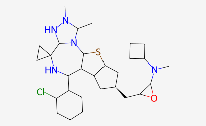 CC1N(C)NC2N1C1SC3C[C@@H](CC4OC4N(C)C4CCC4)CC3C1C(C1CCCCC1Cl)NC21CC1